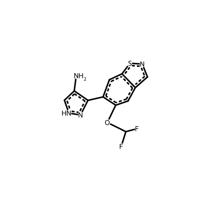 Nc1c[nH]nc1-c1cc2sncc2cc1OC(F)F